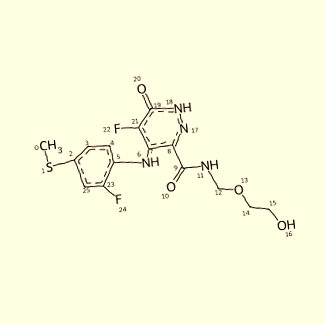 CSc1ccc(Nc2c(C(=O)NCOCCO)n[nH]c(=O)c2F)c(F)c1